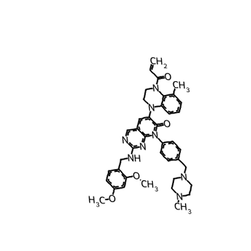 C=CC(=O)N1CCN(c2cc3cnc(NCc4ccc(OC)cc4OC)nc3n(-c3ccc(CN4CCN(C)CC4)cc3)c2=O)c2cccc(C)c21